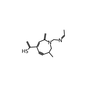 C=C(S)/C1=C/C(=C)N(C/N=C\C)CC(C)C#C1